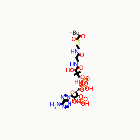 CCCCC(=O)C(=O)SCCNC(=O)CCNC(=O)C(O)C(C)(C)COP(=O)(O)OP(=O)(O)OC[C@H]1O[C@@H](n2cnc3c(N)ncnc32)[C@H](O)[C@@H]1OP(=O)(O)O